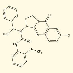 CC(c1ccccc1)N(C(=O)Nc1ccccc1OC(F)(F)F)C1CCn2c1nc1ccc(Cl)cc1c2=O